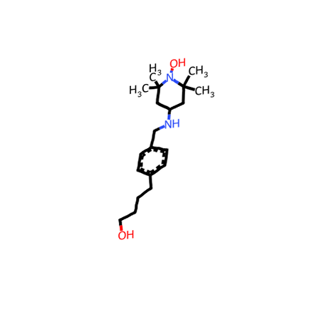 CC1(C)CC(NCc2ccc(CCCCO)cc2)CC(C)(C)N1O